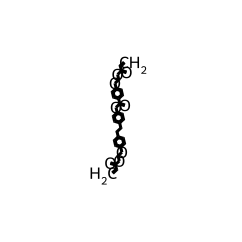 C=CC(=O)OCOc1ccc(CCc2ccc(OC(=O)c3ccc(OCOC(=O)C=C)cc3)cc2)cc1